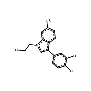 Cc1ccc2c(-c3ccc(Cl)c(Cl)c3)nn(CCCl)c2c1